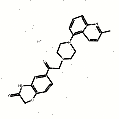 Cc1ccc2c(N3CCN(CC(=O)c4ccc5c(c4)NC(=O)CO5)CC3)cccc2n1.Cl